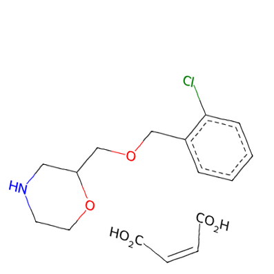 Clc1ccccc1COCC1CNCCO1.O=C(O)/C=C\C(=O)O